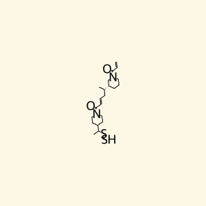 C=CC(=O)N1CCC[C@H](C(C)C/C=C/C(=O)N2CCC(C(C)SS)CC2)C1